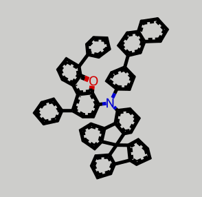 c1ccc(-c2cccc3c2oc2c(N(c4ccc(-c5ccc6ccccc6c5)cc4)c4cccc5c4-c4ccccc4C54c5ccccc5-c5ccccc54)ccc(-c4ccccc4)c23)cc1